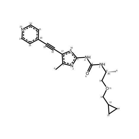 Cc1nc(NC(=O)N[C@H](C)COCC2CC2)sc1C#Cc1ccncc1